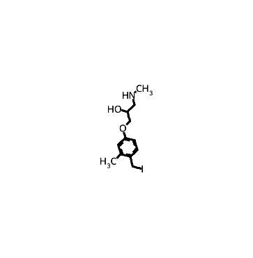 CNCC(O)COc1ccc(CI)c(C)c1